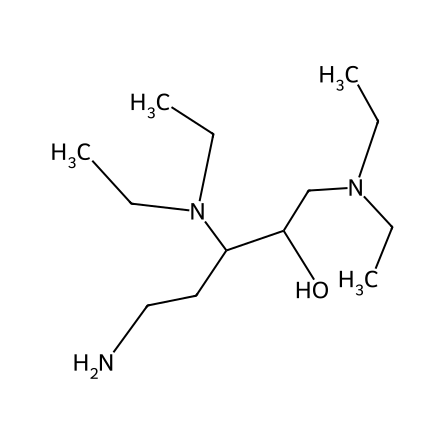 CCN(CC)CC(O)C(CCN)N(CC)CC